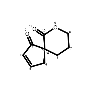 O=C1C=CC[C@@]12CCCOC2=O